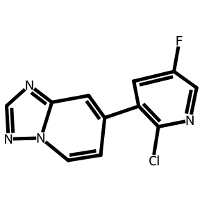 Fc1cnc(Cl)c(-c2ccn3ncnc3c2)c1